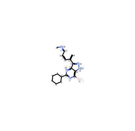 Bc1nc(C2CCCCC2)nc2c(C(=C)/C=C\C=N/C)n[nH]c12